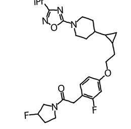 CC(C)c1noc(N2CCC(C3CC3CCOc3ccc(CC(=O)N4CCC(F)C4)c(F)c3)CC2)n1